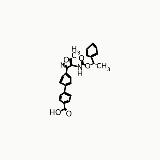 Cc1onc(-c2ccc(-c3ccc(C(=O)O)cc3)cc2)c1NC(=O)O[C@H](C)c1ccccc1